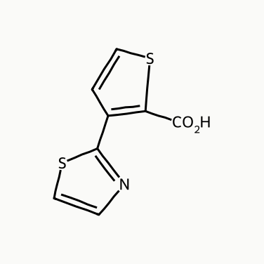 O=C(O)c1sccc1-c1nccs1